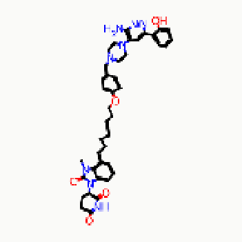 Cn1c(=O)n(C2CCC(=O)NC2=O)c2cccc(CCCCCCCOc3ccc(CN4CCN(c5cc(-c6ccccc6O)nnc5N)CC4)cc3)c21